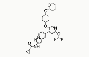 O=C(Nc1cc2cc(-c3cc(OC(F)F)ncc3OC3CCC(OC4CCCCO4)CC3)ccn2n1)C1CC1